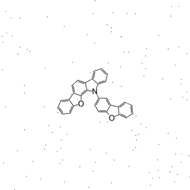 c1ccc2c(c1)oc1ccc(-n3c4ccccc4c4ccc5c6ccccc6oc5c43)cc12